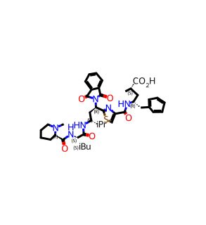 CC[C@H](C)[C@H](NC(=O)[C@H]1CCCCN1C)C(=O)N[C@H](C[C@H](c1nc(C(=O)N[C@@H](Cc2ccccc2)C[C@H](C)C(=O)O)cs1)N1C(=O)c2ccccc2C1=O)C(C)C